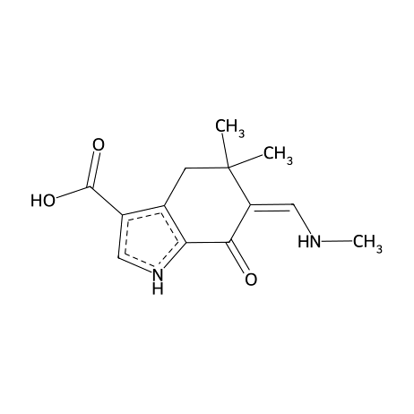 CNC=C1C(=O)c2[nH]cc(C(=O)O)c2CC1(C)C